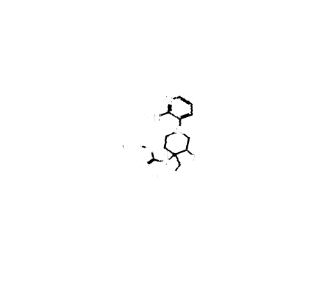 CCOC(=O)CC1(NC(=O)OC(C)(C)C)CCN(c2cccnc2[N+](=O)[O-])CC1F